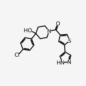 O=C(c1csc(-c2cn[nH]c2)c1)N1CCC(O)(c2ccc(Cl)cc2)CC1